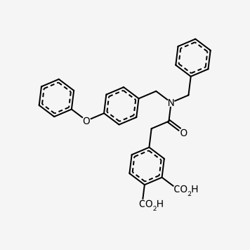 O=C(O)c1ccc(CC(=O)N(Cc2ccccc2)Cc2ccc(Oc3ccccc3)cc2)cc1C(=O)O